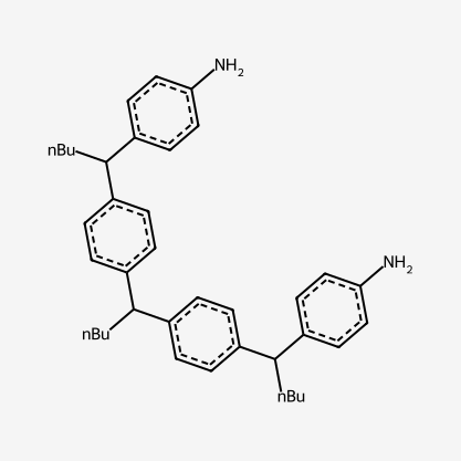 CCCCC(c1ccc(N)cc1)c1ccc(C(CCCC)c2ccc(C(CCCC)c3ccc(N)cc3)cc2)cc1